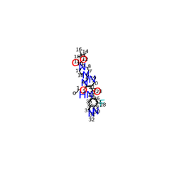 CCOc1nc(N2CCN(C(=O)OC(C)(C)C)CC2)ncc1C(=O)Nc1cc(F)c2nn(C)cc2c1